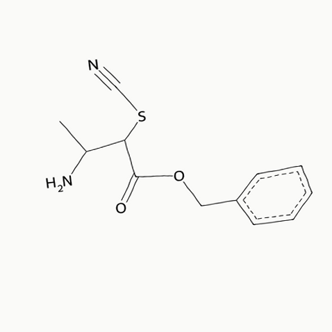 CC(N)C(SC#N)C(=O)OCc1ccccc1